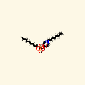 CCCCCCCCCOP(=O)(O)OC1CCN(CCCCCCCC)CC1